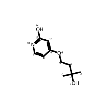 CC(C)(O)CCOc1ccnc(O)c1